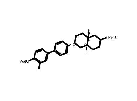 CCCCCC1CC[C@@H]2C[C@H](c3ccc(-c4ccc(OC)c(F)c4)cc3)CC[C@@H]2C1